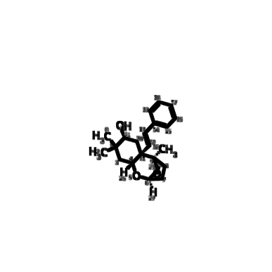 CC1(C)C[C@H]2O[C@@H]3CC[C@](C)([C@@]2(/C=C/c2ccccc2)C[C@@H]1O)[C@]31CO1